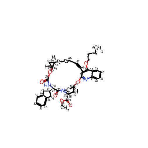 CCCCOc1c2c(nc3ccccc13)O[C@@H]1C[C@@H](C(=O)OC)N(C1)C(=O)[C@H](C1Cc3ccccc3C1)NC(=O)O[C@@H]1C[C@H]1CCCC#C2